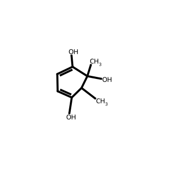 CC1C(O)=CC=C(O)C1(C)O